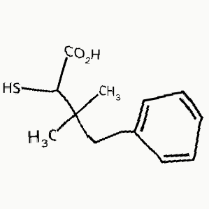 CC(C)(Cc1ccccc1)C(S)C(=O)O